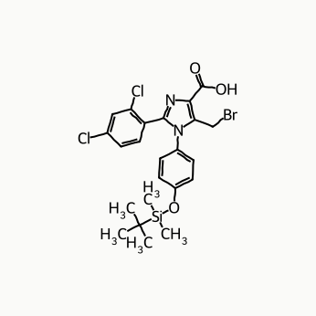 CC(C)(C)[Si](C)(C)Oc1ccc(-n2c(-c3ccc(Cl)cc3Cl)nc(C(=O)O)c2CBr)cc1